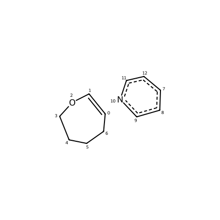 C1=COCCCC1.c1ccncc1